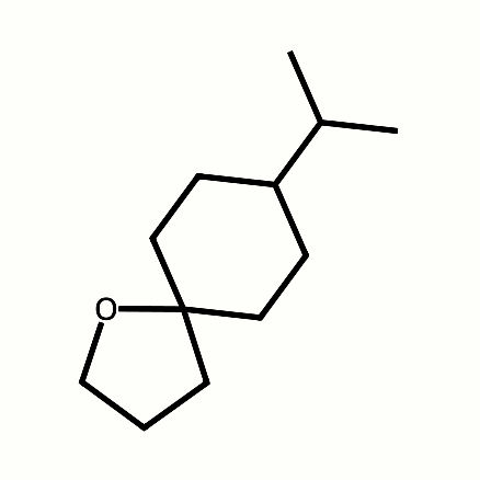 CC(C)C1CCC2(CCCO2)CC1